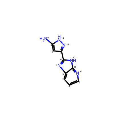 Nc1cc(-c2nc3cccnc3[nH]2)n[nH]1